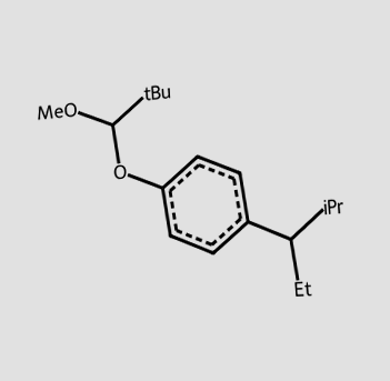 CCC(c1ccc(OC(OC)C(C)(C)C)cc1)C(C)C